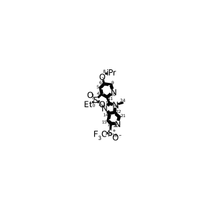 CCS(=O)(=O)c1cc(OC(C)C)cnc1-c1nc2cc([S+]([O-])C(F)(F)F)ncc2n1C